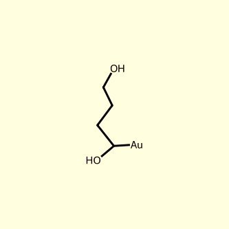 OCCC[CH](O)[Au]